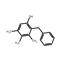 Cc1cc(O)c(Cc2ccccc2)c(C)c1C